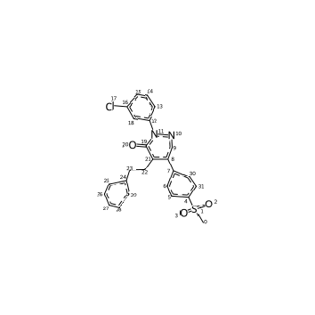 CS(=O)(=O)c1ccc(-c2cnn(-c3cccc(Cl)c3)c(=O)c2CCc2ccccc2)cc1